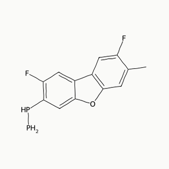 Cc1cc2oc3cc(PP)c(F)cc3c2cc1F